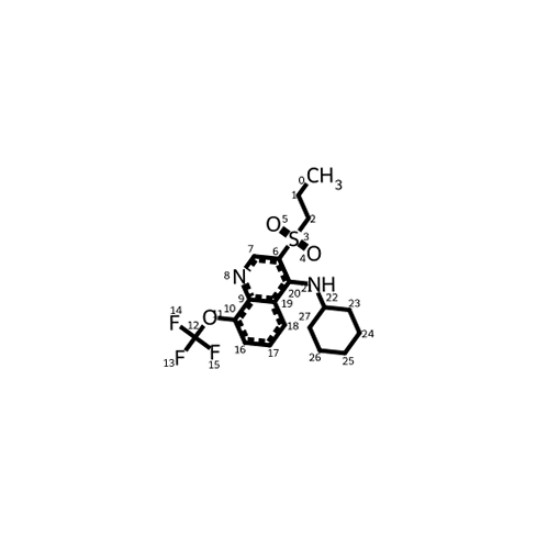 CCCS(=O)(=O)c1cnc2c(OC(F)(F)F)cccc2c1NC1CCCCC1